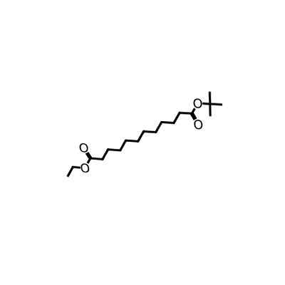 CCOC(=O)CCCCCCCCCCC(=O)OC(C)(C)C